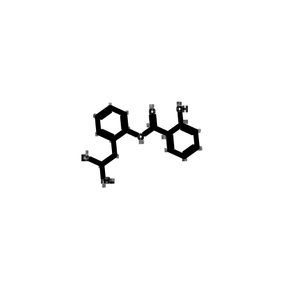 CCCCC(CC)Cc1ccccc1OC(=O)c1ccccc1O